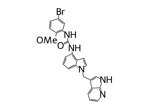 COc1ccc(Br)cc1NC(=O)Nc1cccc2c1ccn2Cc1c[nH]c2ncccc12